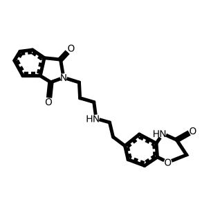 O=C1COc2ccc(CCNCCCN3C(=O)c4ccccc4C3=O)cc2N1